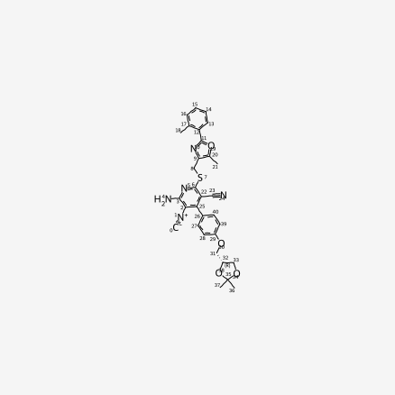 [C-]#[N+]c1c(N)nc(SCc2nc(-c3ccccc3C)oc2C)c(C#N)c1-c1ccc(OC[C@@H]2COC(C)(C)O2)cc1